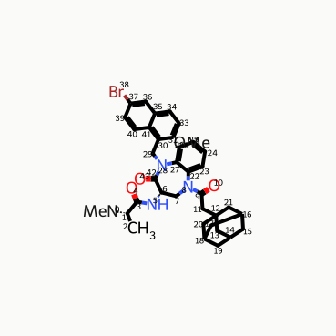 CN[C@@H](C)C(=O)N[C@H]1CN(C(=O)CC23CC4CC(CC(C4)C2)C3)c2ccccc2N(Cc2c(OC)ccc3cc(Br)ccc23)C1=O